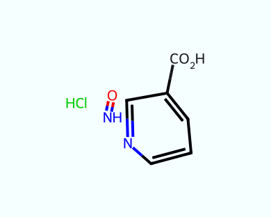 Cl.N=O.O=C(O)c1cccnc1